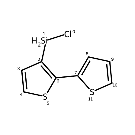 Cl[SiH2]c1ccsc1-c1cccs1